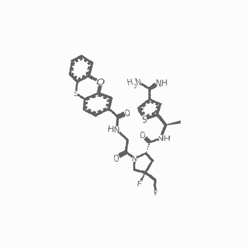 C[C@@H](NC(=O)[C@@H]1C[C@](F)(CF)CN1C(=O)CNC(=O)c1ccc2c(c1)Oc1ccccc1S2)c1cc(C(=N)N)cs1